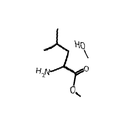 CO.COC(=O)C(N)CC(C)C